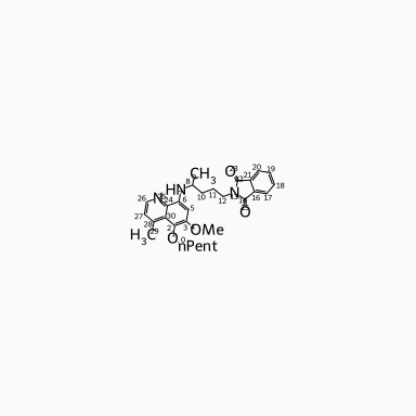 CCCCCOc1c(OC)cc(NC(C)CCCN2C(=O)c3ccccc3C2=O)c2nccc(C)c12